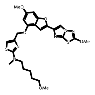 COCCCCCN(C)c1nc(COc2cc(OC)cc3oc(-c4cn5nc(OC)sc5n4)cc23)cs1